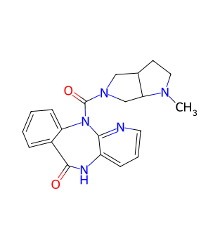 CN1CCC2CN(C(=O)N3c4ccccc4C(=O)Nc4cccnc43)CC21